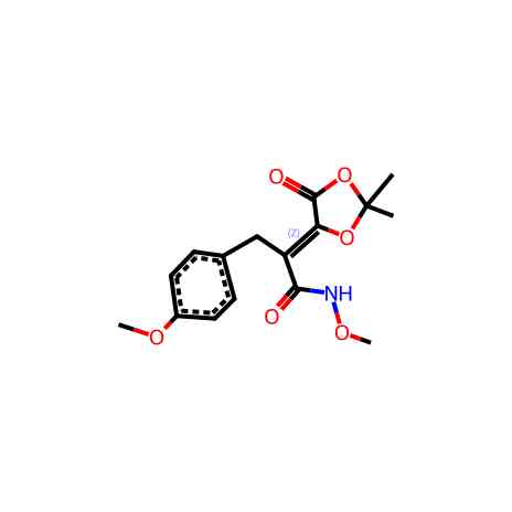 CONC(=O)/C(Cc1ccc(OC)cc1)=C1\OC(C)(C)OC1=O